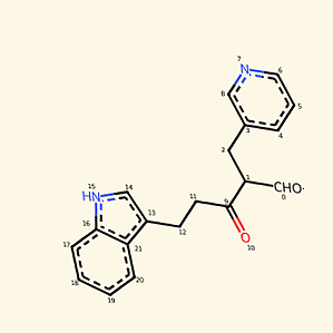 O=[C]C(Cc1cccnc1)C(=O)CCc1c[nH]c2ccccc12